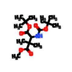 COC(=O)C(C)(C)C(NC(=O)OC(C)(C)C)C(=O)OC(C)(C)C